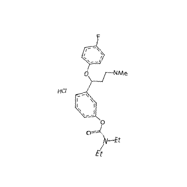 CCN(CC)C(=O)Oc1cccc(C(CCNC)Oc2ccc(F)cc2)c1.Cl